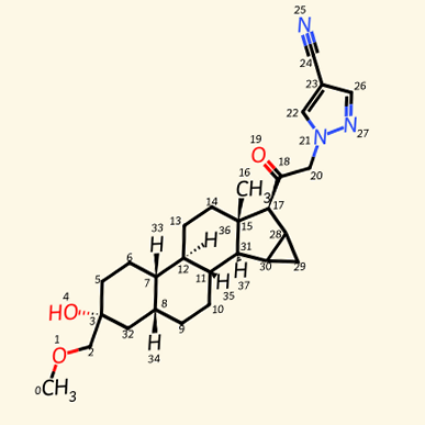 COC[C@@]1(O)CC[C@H]2[C@H](CC[C@@H]3[C@@H]2CC[C@]2(C)[C@@H](C(=O)Cn4cc(C#N)cn4)C4CC4[C@@H]32)C1